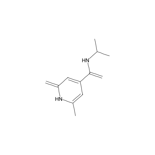 C=C1C=C(C(=C)NC(C)C)C=C(C)N1